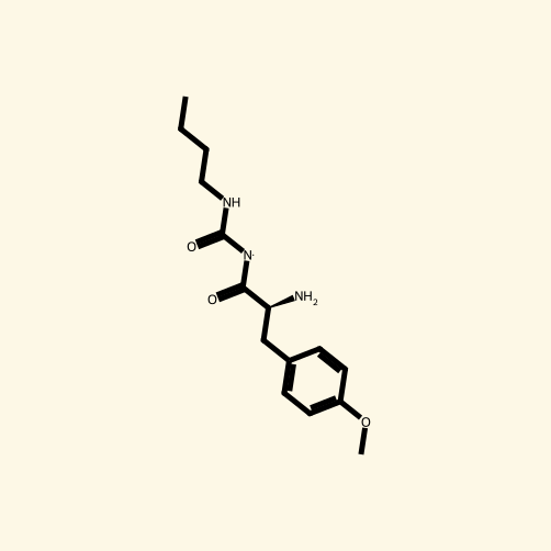 CCCCNC(=O)[N]C(=O)[C@@H](N)Cc1ccc(OC)cc1